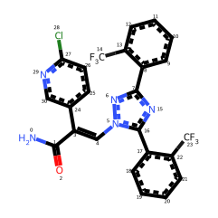 NC(=O)C(=Cn1nc(-c2ccccc2C(F)(F)F)nc1-c1ccccc1C(F)(F)F)c1ccc(Cl)nc1